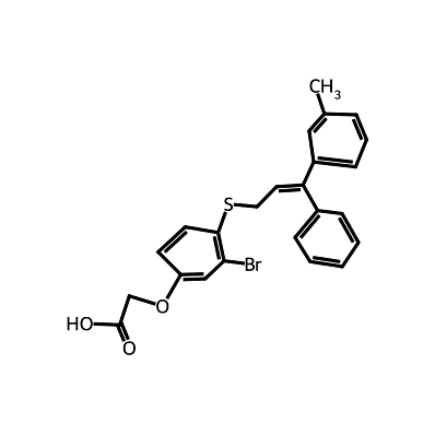 Cc1cccc(C(=CCSc2ccc(OCC(=O)O)cc2Br)c2ccccc2)c1